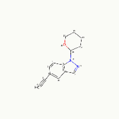 C#Cc1ccc2c(cnn2C2CCCCO2)c1